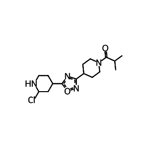 CC(C)C(=O)N1CCC(c2noc(C3CCNC(Cl)C3)n2)CC1